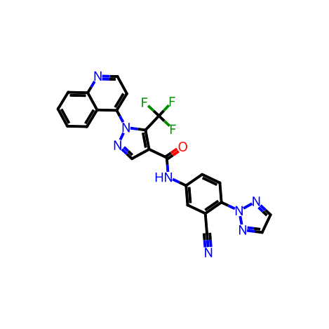 N#Cc1cc(NC(=O)c2cnn(-c3ccnc4ccccc34)c2C(F)(F)F)ccc1-n1nccn1